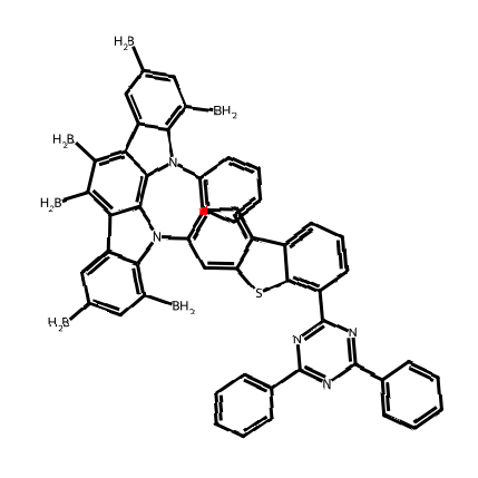 Bc1cc(B)c2c(c1)c1c(B)c(B)c3c4cc(B)cc(B)c4n(-c4ccc5c(c4)sc4c(-c6nc(-c7ccccc7)nc(-c7ccccc7)n6)cccc45)c3c1n2-c1ccccc1